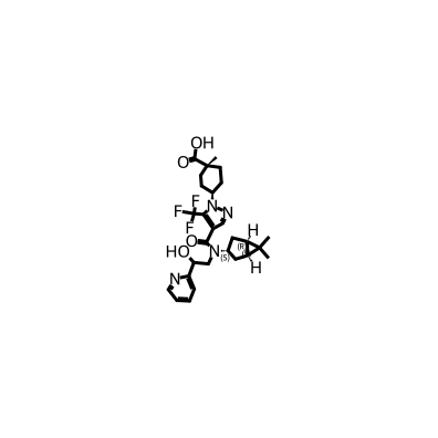 CC1(C)[C@@H]2C[C@@H](N(CC(O)c3ccccn3)C(=O)c3cnn([C@H]4CC[C@](C)(C(=O)O)CC4)c3C(F)(F)F)C[C@@H]21